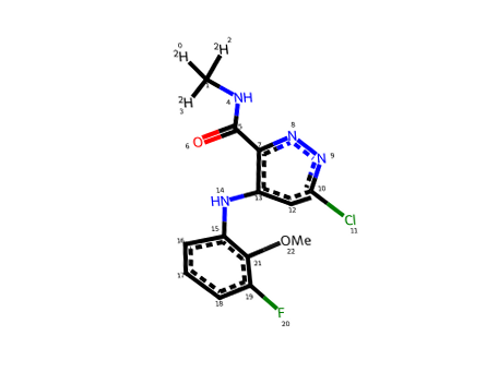 [2H]C([2H])([2H])NC(=O)c1nnc(Cl)cc1Nc1cccc(F)c1OC